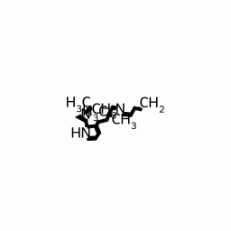 C=CC/C=C\N=C/C(C)(C)CCC1=CC=CNC1C1=CN1C(C)C